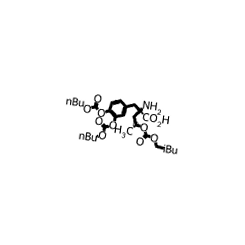 CCCCOC(=O)Oc1ccc(C[C@](N)(C[C@H](C)OC(=O)OCC(C)CC)C(=O)O)cc1OC(=O)OCCCC